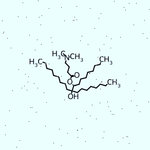 CCCCCCCCCC(O)(CCCCCCCC)C(CCCCCCCC)OC(=O)CCCN(C)C